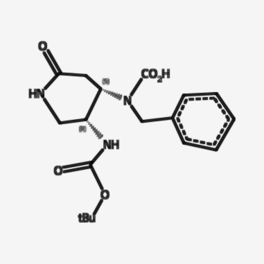 CC(C)(C)OC(=O)N[C@@H]1CNC(=O)C[C@@H]1N(Cc1ccccc1)C(=O)O